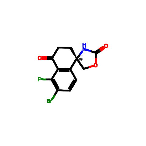 O=C1N[C@]2(CCC(=O)c3c2ccc(Br)c3F)CO1